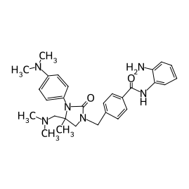 CN(C)CC1(C)CN(Cc2ccc(C(=O)Nc3ccccc3N)cc2)C(=O)N1c1ccc(N(C)C)cc1